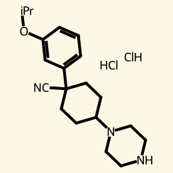 CC(C)Oc1cccc(C2(C#N)CCC(N3CCNCC3)CC2)c1.Cl.Cl